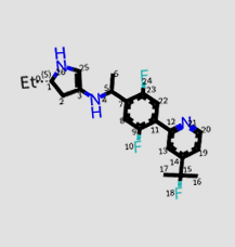 CC[C@H]1CC(NC(C)c2cc(F)c(-c3cc(C(C)(C)F)ccn3)cc2F)=CN1